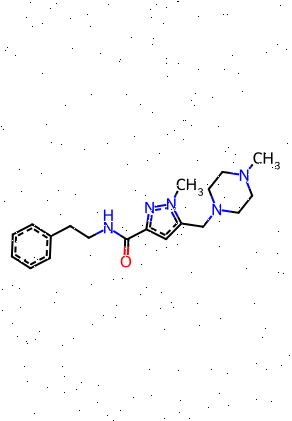 CN1CCN(Cc2cc(C(=O)NCCc3ccccc3)nn2C)CC1